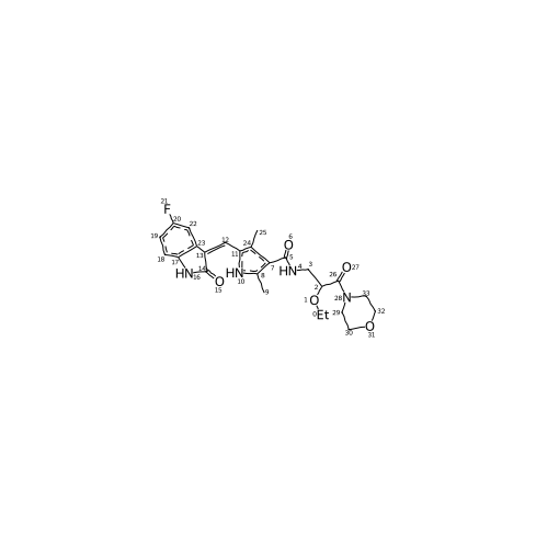 CCOC(CNC(=O)c1c(C)[nH]c(/C=C2\C(=O)Nc3ccc(F)cc32)c1C)C(=O)N1CCOCC1